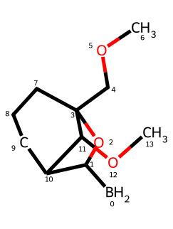 BC1OC2(COC)CCCC1C2OC